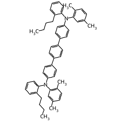 CCCCc1ccccc1N(c1ccc(-c2ccc(-c3ccc(N(c4cc(C)ccc4C)c4ccccc4CCCC)cc3)cc2)cc1)c1cc(C)ccc1C